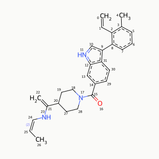 C=Cc1c(C)cccc1-c1c[nH]c2cc(C(=O)N3CCC(C(=C)N/C=C\C)CC3)ccc12